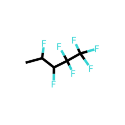 CC(F)C(F)C(F)(F)C(F)(F)F